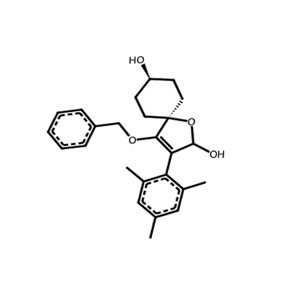 Cc1cc(C)c(C2=C(OCc3ccccc3)[C@]3(CC[C@H](O)CC3)OC2O)c(C)c1